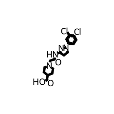 O=C(CN1CCC(C(=O)O)CC1)NC1=NN(c2ccc(Cl)c(Cl)c2)CC1